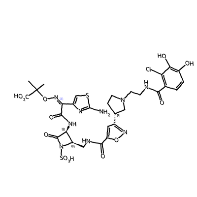 CC(C)(O/N=C(\C(=O)N[C@@H]1C(=O)N(S(=O)(=O)O)[C@@H]1CNC(=O)c1cc([C@@H]2CCN(CCNC(=O)c3ccc(O)c(O)c3Cl)C2)no1)c1csc(N)n1)C(=O)O